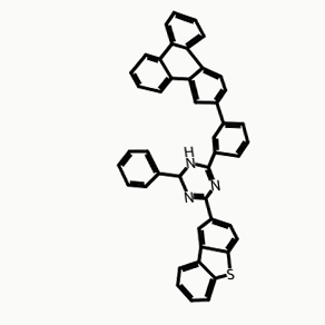 c1ccc(C2N=C(c3ccc4sc5ccccc5c4c3)N=C(c3cccc(-c4ccc5c6ccccc6c6ccccc6c5c4)c3)N2)cc1